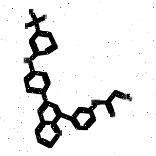 C=CC(=O)Nc1cccc(-c2cc(-c3ccc(Nc4cccc(C(F)(F)F)c4)cc3)cc3cccnc23)c1